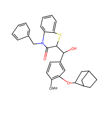 COc1ccc(C(O)C2Sc3ccccc3N(Cc3ccccc3)C2=O)cc1OC1CC2CCC1C2